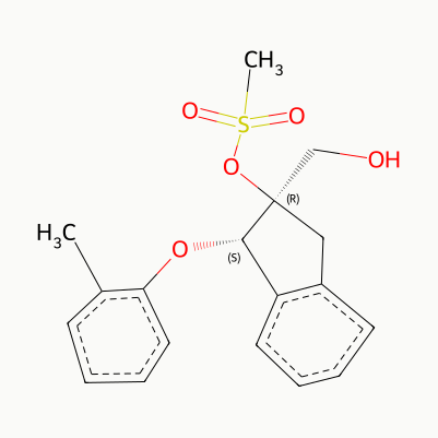 Cc1ccccc1O[C@H]1c2ccccc2C[C@]1(CO)OS(C)(=O)=O